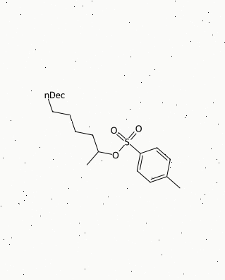 CCCCCCCCCCCCCCC(C)OS(=O)(=O)c1ccc(C)cc1